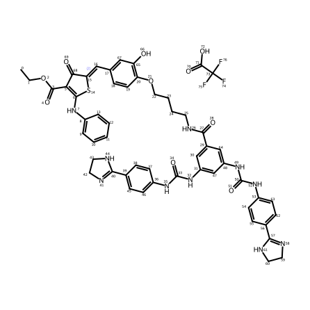 CCOC(=O)C1=C(Nc2ccccc2)S/C(=C\c2ccc(OCCCCNC(=O)c3cc(NC(=O)Nc4ccc(C5=NCCN5)cc4)cc(NC(=O)Nc4ccc(C5=NCCN5)cc4)c3)c(O)c2)C1=O.O=C(O)C(F)(F)F